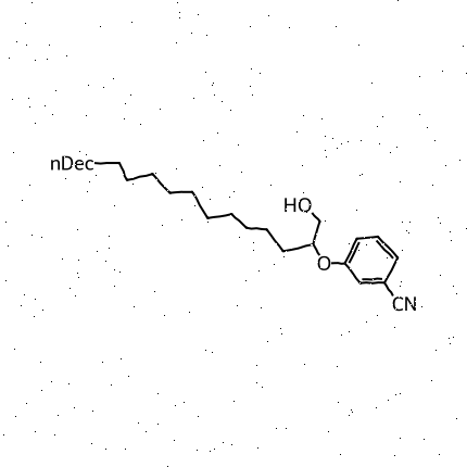 CCCCCCCCCCCCCCCCCCCCC(CO)Oc1cccc(C#N)c1